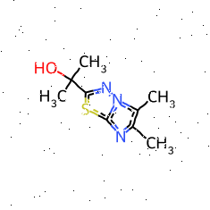 Cc1nc2sc(C(C)(C)O)nn2c1C